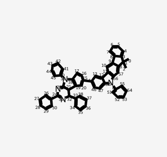 CC1(C)c2ccccc2-c2cc3c4cc(-c5ccc6c(c5)C5C(=NC(c7ccccc7)=NC5c5ccccc5)N6c5ccccc5)ccc4n(-c4ccccc4)c3cc21